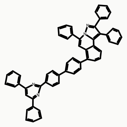 c1ccc(-c2cc(-c3ccccc3)nc(-c3ccc(-c4ccc(-c5cccc6c5cc(-c5ccccc5)n5nc(-c7ccccc7)c(-c7ccccc7)c65)cc4)cc3)n2)cc1